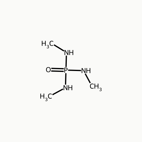 CNP(=O)(NC)NC